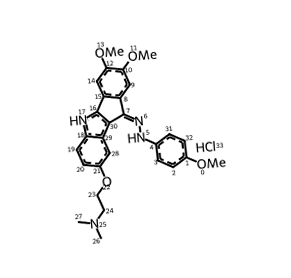 COc1ccc(NN=C2c3cc(OC)c(OC)cc3-c3[nH]c4ccc(OCCN(C)C)cc4c32)cc1.Cl